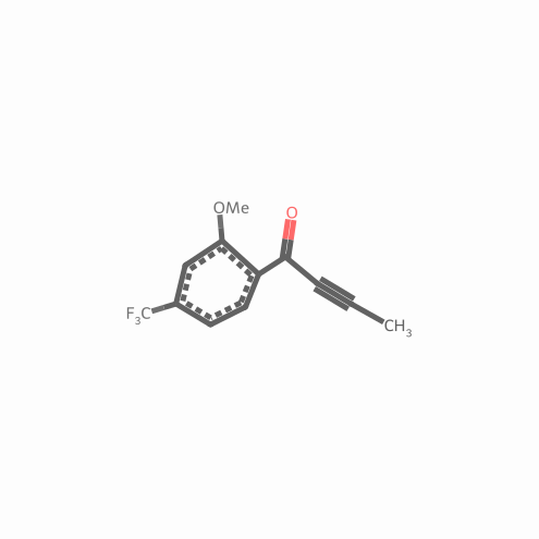 CC#CC(=O)c1ccc(C(F)(F)F)cc1OC